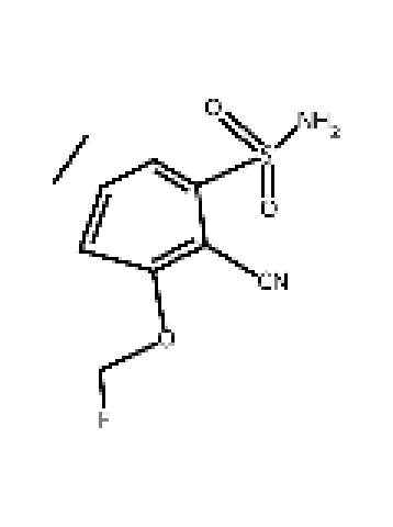 CC.N#Cc1c(OCF)cccc1S(N)(=O)=O